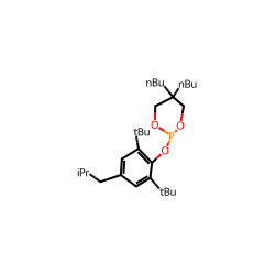 CCCCC1(CCCC)COP(Oc2c(C(C)(C)C)cc(CC(C)C)cc2C(C)(C)C)OC1